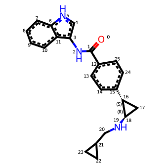 O=C(Nc1c[nH]c2ccccc12)c1ccc([C@@H]2C[C@H]2NCC2CC2)cc1